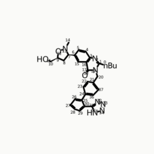 CCCCc1nc2ccc([C@H]3C[C@@H](CO)ON3C)cc2c(=O)n1Cc1ccc(-c2ccccc2-c2nnn[nH]2)cc1